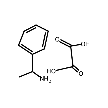 CC(N)c1ccccc1.O=C(O)C(=O)O